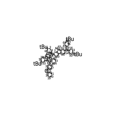 CC(C)(C)c1ccc(Nc2cc3c(cc2-c2ccc4c5cc6c(cc5n5c4c2Bc2sc4ccc(C(C)(C)C)cc4c2-5)oc2ccccc26)-c2ccc(N(c4ccc(C(C)(C)C)cc4)c4ccc(C(C)(C)C)cc4)cc2C3(C)C)cc1